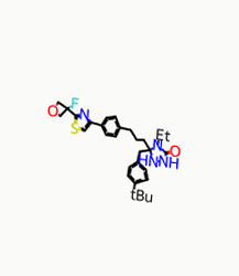 CCN1C(=O)NNC1(CCCc1ccc(-c2csc(C3(F)COC3)n2)cc1)Cc1ccc(C(C)(C)C)cc1